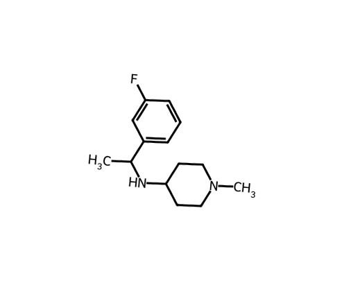 CC(NC1CCN(C)CC1)c1cccc(F)c1